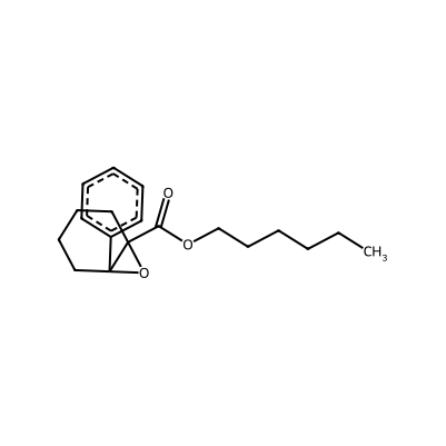 CCCCCCOC(=O)C12CCCCC1(c1ccccc1)O2